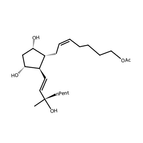 CCCCC[C@](C)(O)/C=C/[C@@H]1[C@@H](C/C=C\CCCCOC(C)=O)[C@@H](O)C[C@H]1O